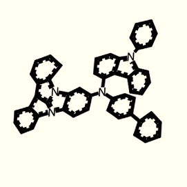 c1ccc(-c2ccc(N(c3ccc4c(c3)n3c5ccccc5c5c6ccccc6n4c53)c3cccc4c3c3ccccc3n4-c3ccccc3)cc2)cc1